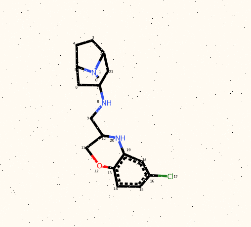 CN1C2CCC1CC(NCC1COc3ccc(Cl)cc3N1)C2